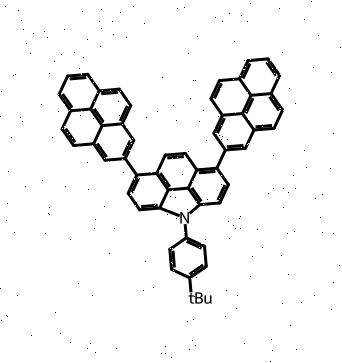 CC(C)(C)c1ccc(-n2c3ccc(-c4cc5ccc6cccc7ccc(c4)c5c67)c4ccc5c(-c6cc7ccc8cccc9ccc(c6)c7c89)ccc2c5c43)cc1